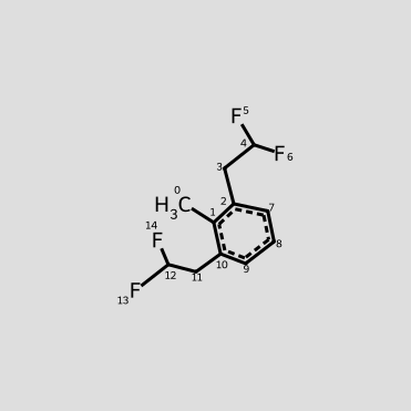 Cc1c(CC(F)F)cccc1CC(F)F